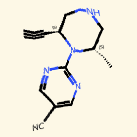 C#C[C@H]1CNC[C@H](C)N1c1ncc(C#N)cn1